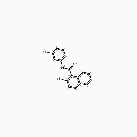 O=C(Nc1cccc(Cl)c1)c1c(O)ccc2ccccc12